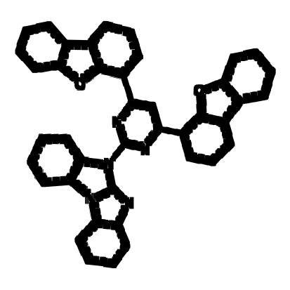 c1ccc2c(c1)nc1n(-c3nc(-c4cccc5c4oc4ccccc45)cc(-c4cccc5c4oc4ccccc45)n3)c3ccccc3n21